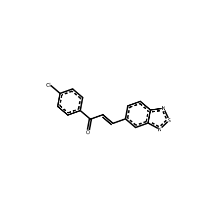 O=C(C=Cc1ccc2nsnc2c1)c1ccc(Cl)cc1